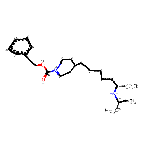 CCOC(=O)[C@H](CCCCCC1CCN(C(=O)OCc2ccccc2)CC1)N[C@@H](C)C(=O)O